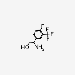 NC(CO)c1ccc(F)c(C(F)(F)F)c1